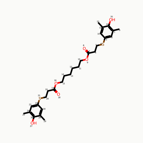 Cc1cc(SCCC(=O)OCCCCCCOC(=O)CCSc2cc(C)c(O)c(C)c2)cc(C)c1O